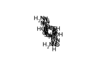 Nc1nc2c(ncn2[C@@H]2O[C@@H]3CO[P@@](=O)(S)O[C@@H]4C(CO[P@@](=O)(S)O[C@H]3[C@H]2O)O[C@@H](n2cnc3c(N)ncnc32)[C@@H]4O)c(=O)[nH]1